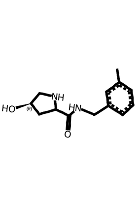 Cc1cccc(CNC(=O)C2C[C@@H](O)CN2)c1